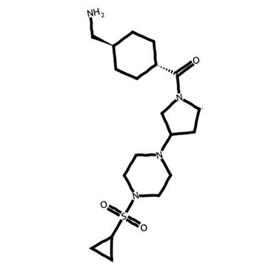 NC[C@H]1CC[C@H](C(=O)N2[CH]CC(N3CCN(S(=O)(=O)C4CC4)CC3)C2)CC1